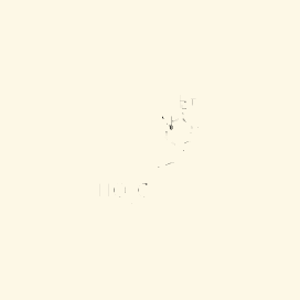 CCc1ccc(/C=C/CC(=O)O)cn1